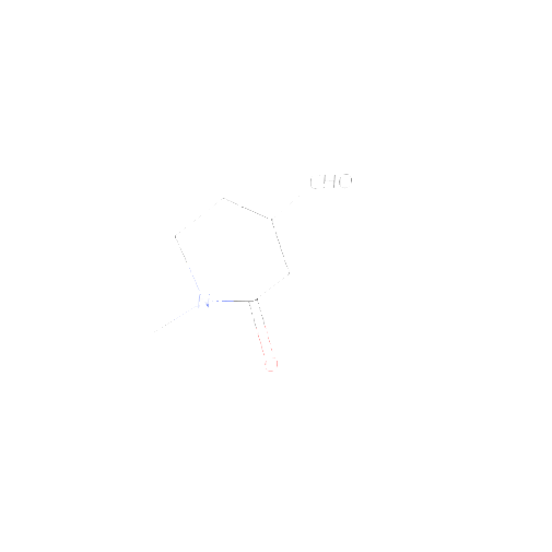 CN1CCC(C=O)CC1=O